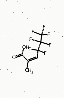 CC(=CC(F)(F)C(F)(F)C(F)(F)F)C(=O)O